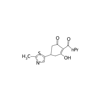 CCCC(=O)C1=C(O)CC(c2cnc(C)s2)CC1=O